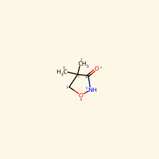 CC1(C)CONC1=O